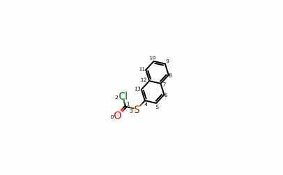 O=C(Cl)Sc1ccc2ccccc2c1